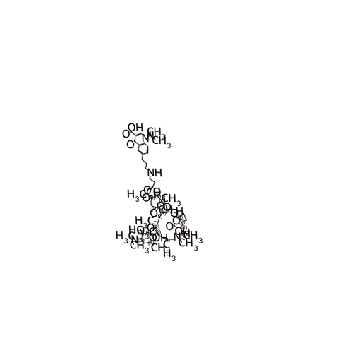 CO[C@]1(C)C[C@H](O[C@H]2C(C)[C@@H](O[C@@H]3O[C@H](C)C[C@H](N(C)C)[C@H]3O)[C@](C)(O)C[C@@H](C)CN(C)[C@H](C)[C@H]3OC(=O)O[C@@]34CC[C@H]4OC(=O)[C@@H]2C)O[C@@H](C)[C@@H]1OC(=O)CCNCCCc1ccc2c(c1)c(=O)c(C(=O)O)cn2N(C)C